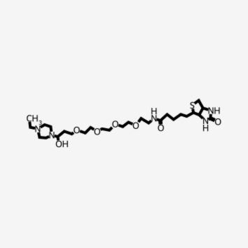 CCN1CCN(C(O)CCOCCOCCOCCOCCNC(=O)CCCCC2SCC3NC(=O)NC32)CC1